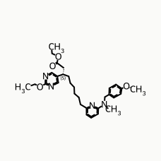 CCOC(=O)C[C@H](CCCCCCc1cccc(N(C)Cc2ccc(OC)cc2)n1)c1cnc(OCC)nc1